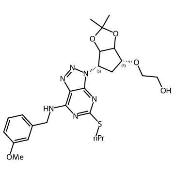 CCCSc1nc(NCc2cccc(OC)c2)c2nnn([C@H]3C[C@@H](OCCO)C4OC(C)(C)OC43)c2n1